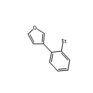 CCc1ccccc1-c1ccoc1